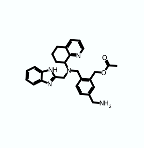 CC(=O)OCc1cc(CN)ccc1CN(Cc1nc2ccccc2[nH]1)C1CCCc2cccnc21